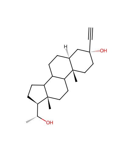 C#C[C@@]1(O)CC[C@]2(C)C3CC[C@@]4(C)C(CC[C@@H]4[C@@H](C)O)C3CC[C@H]2C1